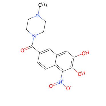 CN1CCN(C(=O)c2ccc3c([N+](=O)[O-])c(O)c(O)cc3c2)CC1